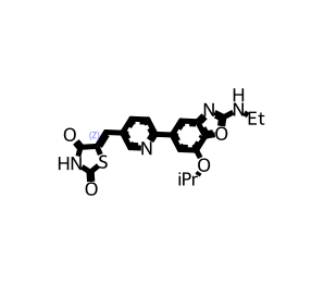 CCNc1nc2cc(-c3ccc(/C=C4\SC(=O)NC4=O)cn3)cc(OC(C)C)c2o1